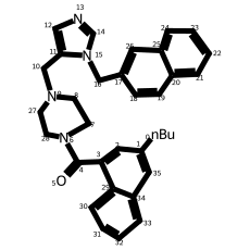 CCCCc1cc(C(=O)N2CCN(Cc3cncn3Cc3ccc4ccccc4c3)CC2)c2ccccc2c1